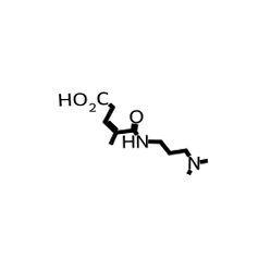 CC(=CCC(=O)O)C(=O)NCCCN(C)C